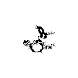 CC[C@@H]1C[C@H](C)CCC=C[C@@H]2C[C@@]2(C(=O)NS(=O)(=O)C2(C)CC2)NC(=O)[C@@H]2C[C@@H](Oc3ncc(OC)c4ccc(Cl)cc34)CN2C(=O)[C@H]1NC(=O)OC(C)(C)C(F)(F)F